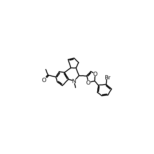 CC(=O)c1ccc2c(c1)C1C=CCC1C(C1=COC(c3ccccc3Br)O1)N2C